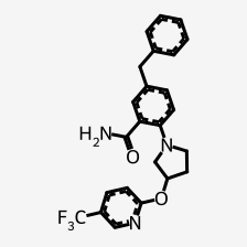 NC(=O)c1cc(Cc2ccccc2)ccc1N1CCC(Oc2ccc(C(F)(F)F)cn2)C1